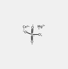 O=S(=O)([O-])[O-].[Ce+3].[Mg+2]